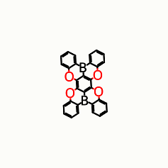 c1ccc2c(c1)Oc1c3c4c(c5c1B2c1ccccc1O5)Oc1ccccc1B4c1ccccc1O3